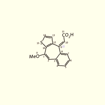 COC1=Cc2ccccc2/C(=C/C(=O)O)c2ccsc21